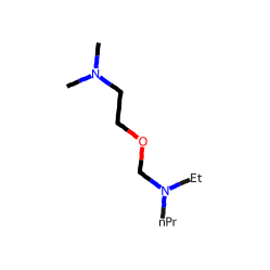 CCCN(CC)COCCN(C)C